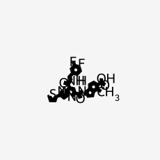 Cc1c(C(=O)O)ccc2c1CC[C@@H]2NC(=O)c1cc(C(=O)NCc2ccc(F)c(F)c2)n2nc(-c3cccs3)cc2n1